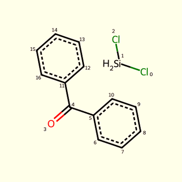 Cl[SiH2]Cl.O=C(c1ccccc1)c1ccccc1